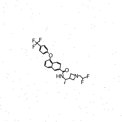 C[C@@H](NC(=O)c1ccc2c(Oc3ccc(C(F)(F)F)cc3)cccc2c1)C1CN(CC(F)F)C1